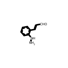 NNc1[c]cccc1/C=C/C=O